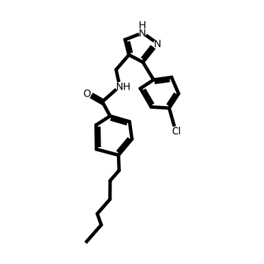 CCCCCCc1ccc(C(=O)NCc2c[nH]nc2-c2ccc(Cl)cc2)cc1